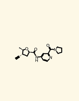 C#C[C@H]1C[C@H](C(=O)Nc2ccnc(C(=O)N3CCCC3)c2)O[C@@H]1C